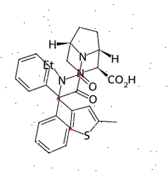 CCN(Cc1csc(C)c1)C(=O)N1[C@H]2CC[C@@H]1[C@@H](C(=O)O)N(C(=O)C(c1ccccc1)c1ccccc1)C2